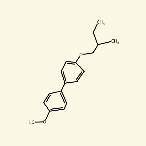 CCC(C)COc1ccc(-c2ccc(OC)cc2)cc1